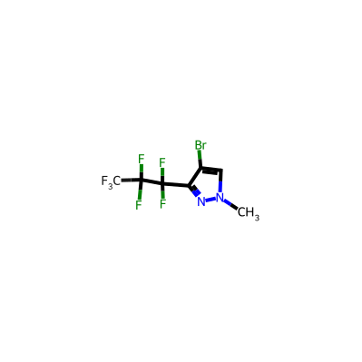 Cn1cc(Br)c(C(F)(F)C(F)(F)C(F)(F)F)n1